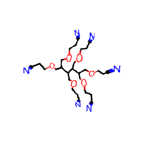 N#CCCOCC(COCCC#N)C(COCCC#N)C(COCCC#N)C(COCCC#N)COCCC#N